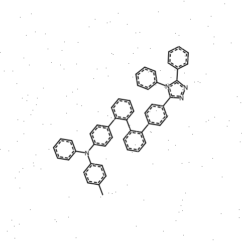 Cc1ccc(N(c2ccccc2)c2ccc(-c3ccccc3-c3ccccc3-c3ccc(-c4nnc(-c5ccccc5)n4-c4ccccc4)cc3)cc2)cc1